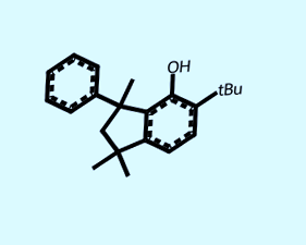 CC(C)(C)c1ccc2c(c1O)C(C)(c1ccccc1)CC2(C)C